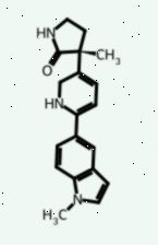 Cn1ccc2cc(C3=CC=C([C@@]4(C)CCNC4=O)CN3)ccc21